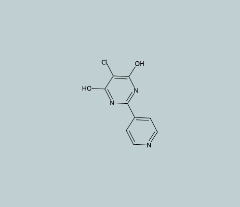 Oc1nc(-c2ccncc2)nc(O)c1Cl